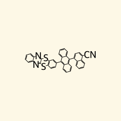 N#Cc1ccc(-c2c3ccccc3c(-c3ccc4c(c3)Sc3nc5ccccc5nc3S4)c3ccccc23)c2ccccc12